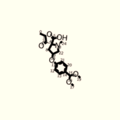 CCC(=O)[C@@]1(C(=O)O)CC(Oc2ccc(C(OC)OC)cc2)CN1C